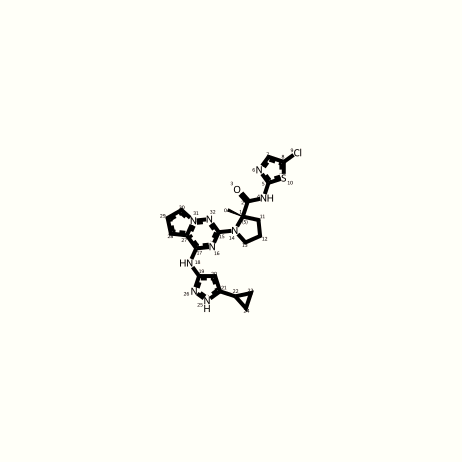 C[C@@]1(C(=O)Nc2ncc(Cl)s2)CCCN1c1nc(Nc2cc(C3CC3)[nH]n2)c2cccn2n1